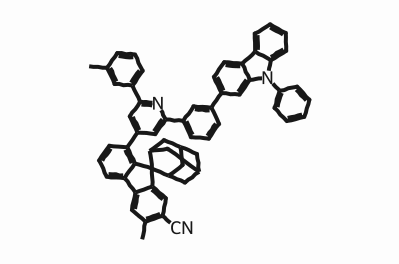 Cc1cccc(-c2cc(-c3cccc4c3C3(c5cc(C#N)c(C)cc5-4)C4CC5CC(C4)CC3C5)cc(-c3cccc(-c4ccc5c6ccccc6n(-c6ccccc6)c5c4)c3)n2)c1